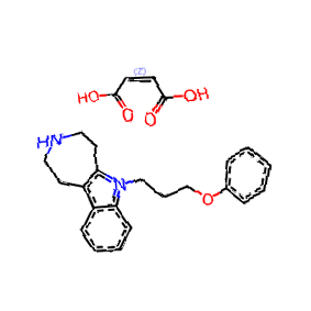 O=C(O)/C=C\C(=O)O.c1ccc(OCCCn2c3c(c4ccccc42)CCNCC3)cc1